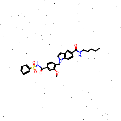 CCCCCNC(=O)c1ccc2c(ccn2Cc2ccc(C(=O)NS(=O)(=O)c3ccccc3)cc2OC)c1